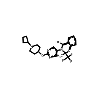 CC1(C(F)(F)F)N=c2ccccc2=C(O)N1c1cnc(OC2CCN(C3CCC3)CC2)nc1